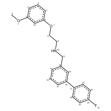 COc1cccc(OCCNCc2cncc(-c3ccc(F)cc3)c2)c1